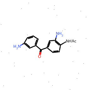 CC(=O)Nc1ccc(C(=O)c2cccc(N)c2)cc1N